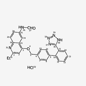 CCc1cc(OCc2ccc(-c3ccccc3-c3nnn[nH]3)cc2)c2cc(NC=O)ccc2n1.Cl